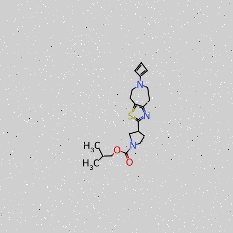 CC(C)COC(=O)N1CCC(c2nc3c(s2)CCN(C2=CC=C2)CC3)C1